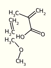 C=C.C=C(C)C(=O)O.COC